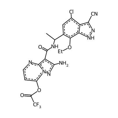 CCOc1c(C(C)NC(=O)c2c(N)nn3c(OC(=O)C(F)(F)F)ccnc23)cc(Cl)c2c(C#N)n[nH]c12